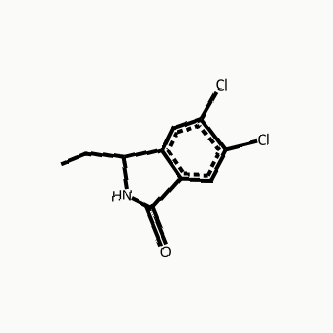 CCC1NC(=O)c2cc(Cl)c(Cl)cc21